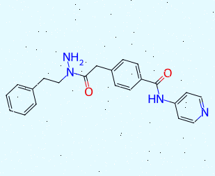 NN(CCc1ccccc1)C(=O)Cc1ccc(C(=O)Nc2ccncc2)cc1